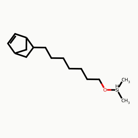 C[SiH](C)OCCCCCCCC1CC2C=CC1C2